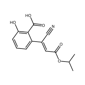 CC(C)OC(=O)C=C(C#N)c1cccc(O)c1C(=O)O